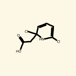 O=C(O)CC1(Cl)C=CC=C(Cl)N1